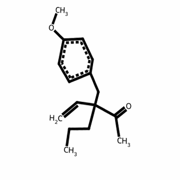 C=CC(CCC)(Cc1ccc(OC)cc1)C(C)=O